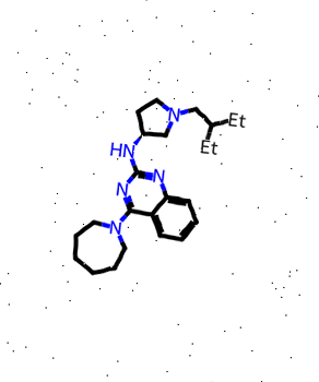 CCC(CC)CN1CC[C@H](Nc2nc(N3CCCCCC3)c3ccccc3n2)C1